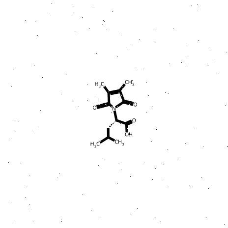 CC1=C(C)C(=O)N([C@@H](CC(C)C)C(=O)O)C1=O